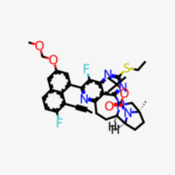 CC#Cc1c(F)ccc2cc(OCOC)cc(-c3nc4c5c(nc(SCC)nc5c3F)N3C[C@@]5(C)CC[C@@H]([C@H]3CC4)N5C(=O)OC(C)(C)C)c12